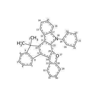 CC1(C)c2ccccc2-c2c1c1c3ccccc3n(-c3ccccc3)c1c1oc3ccccc3c21